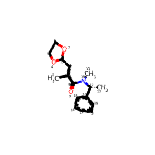 CC(CC1OCCO1)C(=O)N(C)[C@H](C)c1ccccc1